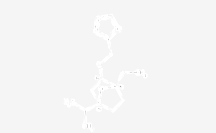 CC[C@@]12CC[C@@](C(C)C)(C[C@@H]1OCc1ccco1)O2